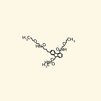 CCCOCCNC(=O)CCCc1ccc2c(c1)C(COC(=O)NC)c1cccc(C(=O)NCCOCCC)c1-2